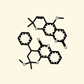 COC1(C)CC(c2ccccc2)c2c(c3ccccc3oc2=O)O1.COc1c2c(cc3oc(=O)ccc13)OC(C)(C)C=C2